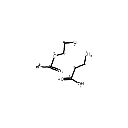 CCCC(=O)O.CCCC(=O)OCCO